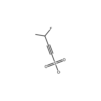 CC(F)C#CS([O])(=O)=O